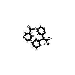 O=C(O)C(c1ccccc1)c1ccccc1.O=C(O)c1cccnc1